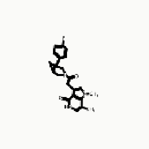 Cc1c[nH]c(=O)c2c(CC(=O)N3CC4CC4(c4ccc(F)cc4)C3)cn(C)c12